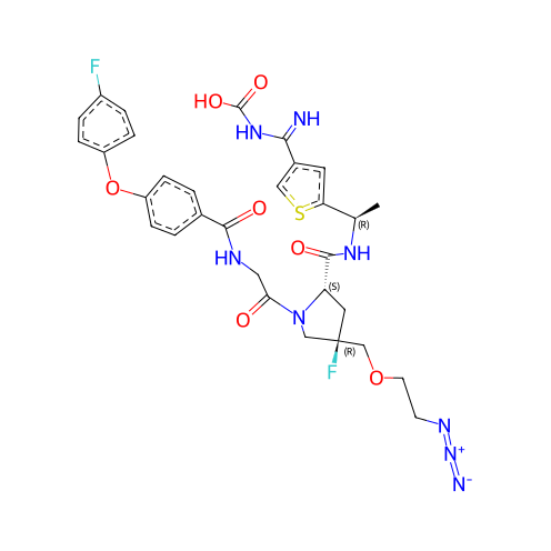 C[C@@H](NC(=O)[C@@H]1C[C@](F)(COCCN=[N+]=[N-])CN1C(=O)CNC(=O)c1ccc(Oc2ccc(F)cc2)cc1)c1cc(C(=N)NC(=O)O)cs1